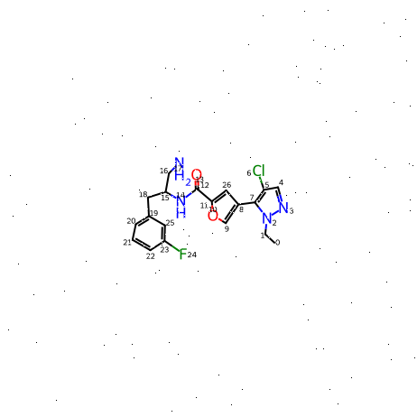 CCn1ncc(Cl)c1-c1coc(C(=O)NC(CN)Cc2cccc(F)c2)c1